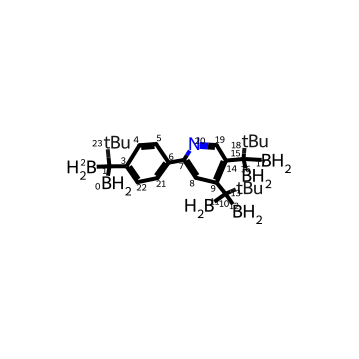 BC(B)(c1ccc(-c2cc(C(B)(B)C(C)(C)C)c(C(B)(B)C(C)(C)C)cn2)cc1)C(C)(C)C